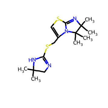 CC1(C)CN=C(SCC2=CSC3=NC(C)(C)C(C)(C)N23)N1